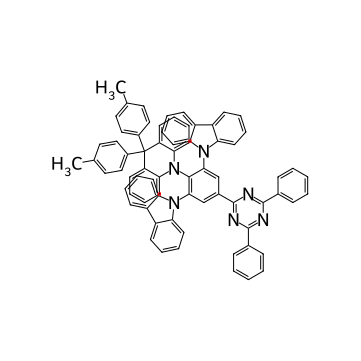 Cc1ccc(C2(c3ccc(C)cc3)c3ccccc3N(c3c(-n4c5ccccc5c5ccccc54)cc(-c4nc(-c5ccccc5)nc(-c5ccccc5)n4)cc3-n3c4ccccc4c4ccccc43)c3ccccc32)cc1